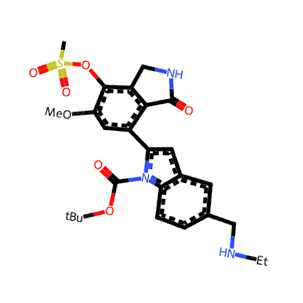 CCNCc1ccc2c(c1)cc(-c1cc(OC)c(OS(C)(=O)=O)c3c1C(=O)NC3)n2C(=O)OC(C)(C)C